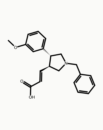 COc1cccc([C@@H]2CN(Cc3ccccc3)C[C@H]2C=CC(=O)O)c1